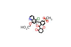 CS(=O)(=O)c1ccc(C(=O)C2C(=O)CCCC2=O)c([N+](=O)[O-])c1.O=C(O)COc1ccc(Cl)c2cccnc12